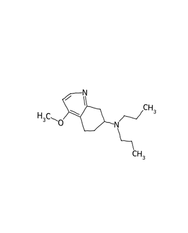 CCCN(CCC)C1CCc2c(OC)ccnc2C1